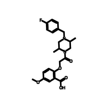 COc1ccc(OCC(=O)N2CC(C)N(Cc3ccc(F)cc3)CC2C)c(C(=O)O)c1